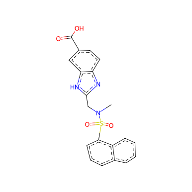 CN(Cc1nc2ccc(C(=O)O)cc2[nH]1)S(=O)(=O)c1cccc2ccccc12